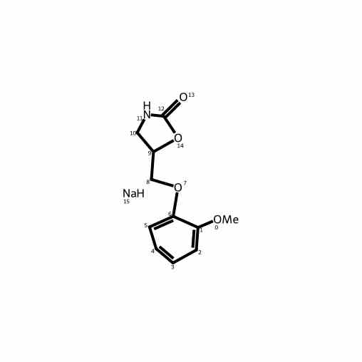 COc1ccccc1OCC1CNC(=O)O1.[NaH]